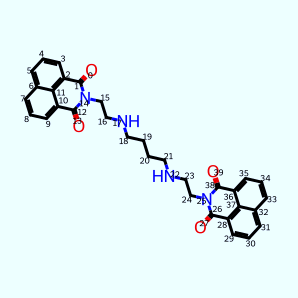 O=C1c2cccc3cccc(c23)C(=O)N1CCNCCCCNCCN1C(=O)c2cccc3cccc(c23)C1=O